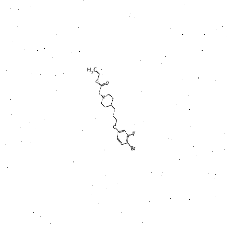 CCOC(=O)CN1CCC(CCCOc2ccc(Br)c(F)c2)CC1